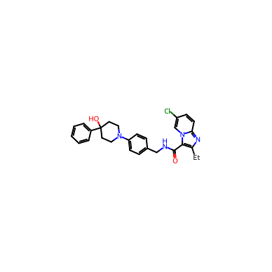 CCc1nc2ccc(Cl)cn2c1C(=O)NCc1ccc(N2CCC(O)(c3ccccc3)CC2)cc1